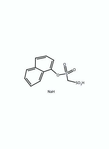 O=S(=O)(O)CS(=O)(=O)Oc1cccc2ccccc12.[NaH]